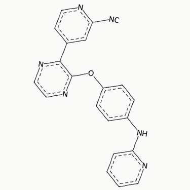 [C-]#[N+]c1cc(-c2nccnc2Oc2ccc(Nc3ccccn3)cc2)ccn1